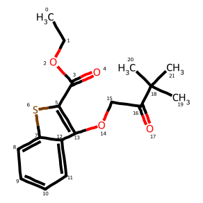 CCOC(=O)c1sc2ccccc2c1OCC(=O)C(C)(C)C